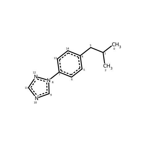 CC(C)Cc1ccc(-n2cncn2)cc1